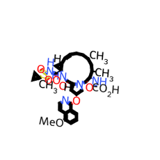 COc1cccc2c(O[C@@H]3C[C@H]4C(=O)N[C@]5(C(=O)NS(=O)(=O)C6(C)CC6)C[C@H]5C=CCC[C@@H](C)C[C@@H](C)[C@H](NC(=O)O)C(=O)N4C3)nccc12